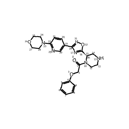 O=C(COc1ccccc1)N1CCNC[C@@H]1c1nc(-c2ccc(N3CCOCC3)nc2)no1